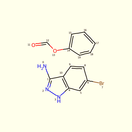 Nc1n[nH]c2cc(Br)ccc12.O=COc1ccccc1